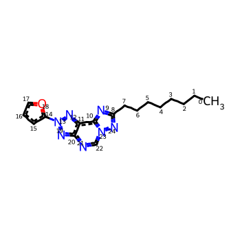 CCCCCCCCc1nc2c3nn(-c4ccco4)nc3ncn2n1